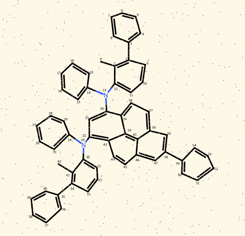 Cc1c(-c2ccccc2)cccc1N(c1ccccc1)c1cc(N(c2ccccc2)c2cccc(-c3ccccc3)c2C)c2ccc3cc(-c4ccccc4)cc4ccc1c2c43